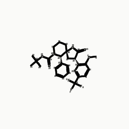 COc1ccc(C(F)(F)F)nc1[C@@H]1C[C@@]2(CCCN(C(=O)OC(C)(C)C)[C@H]2c2ccccc2)OC1=O